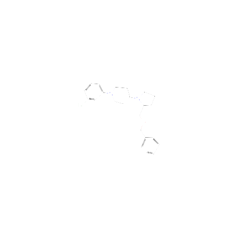 Brc1cccc(N2CCC(N3CCCC3COCc3ccccc3)CC2)c1